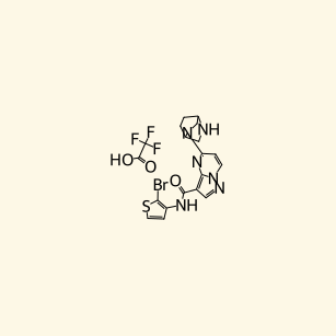 O=C(Nc1ccsc1Br)c1cnn2ccc(N3CC4CCC3CN4)nc12.O=C(O)C(F)(F)F